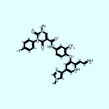 CC(C)n1cc(C(=O)Nc2ccc(OC3=CC(c4cn(C)cn4)=CN/C3=C\C=N)c(C(F)(F)F)c2)c(=O)n(-c2ccc(F)cc2)c1=O